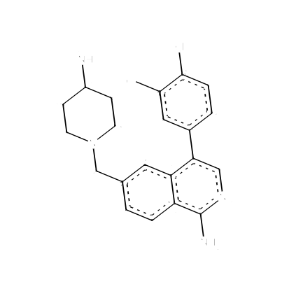 Nc1ncc(-c2ccc(Cl)c(Cl)c2)c2cc(CN3CCC(N)CC3)ccc12